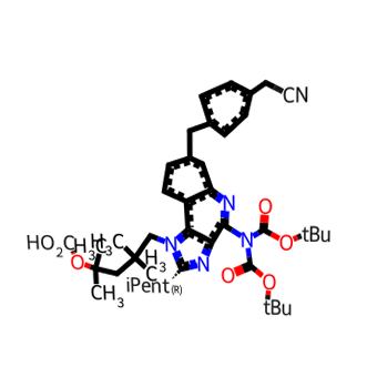 CCC[C@@H](C)c1nc2c(N(C(=O)OC(C)(C)C)C(=O)OC(C)(C)C)nc3cc(Cc4ccc(CC#N)cc4)ccc3c2n1CC(C)(C)CC(C)(C)OC(=O)O